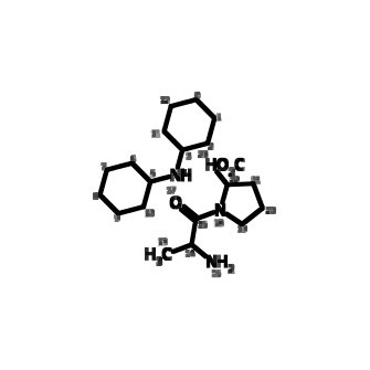 C1CCC(NC2CCCCC2)CC1.CC(N)C(=O)N1CCCC1C(=O)O